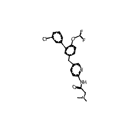 CN(C)CC(=O)Nc1ccc(Cc2ccc(OC(F)F)c(-c3cccc(Cl)c3)c2)cn1